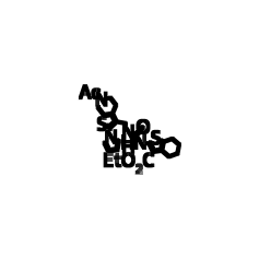 CCOC(=O)c1c(NC(=O)NCc2c(-n3cccc3)sc3c2CCN(C(C)=O)C3)sc2c1CCCC2